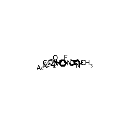 CC(=O)N(C[C@H]1CN(c2ccc(N3Cc4cn(C)nc4C3)c(F)c2)C(=O)O1)C(=O)O